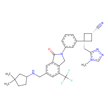 Cn1cnnc1C[C@]1(c2cccc(N3Cc4c(cc(CNC5CCC(C)(C)C5)cc4C(F)(F)F)C3=O)c2)C[C@H](C#N)C1